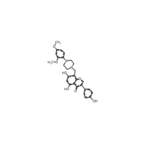 COc1ccc(N2CCN(Cc3c(O)cc(O)c4c(=O)c(-c5ccc(O)cc5)coc34)CC2)c(OC)c1